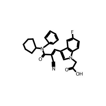 N#C/C(=C\c1cn(CC(=O)O)c2ccc(F)cc12)C(=O)N(c1ccccc1)C1CCCCC1